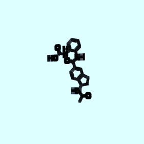 CC(=O)NC1CCc2cc(C(=O)Nc3ccccc3NC(=O)O)ccc21